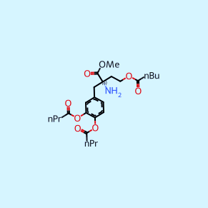 CCCCC(=O)OCC[C@@](N)(Cc1ccc(OC(=O)CCC)c(OC(=O)CCC)c1)C(=O)OC